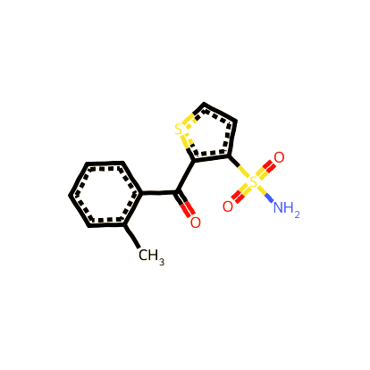 Cc1ccccc1C(=O)c1sccc1S(N)(=O)=O